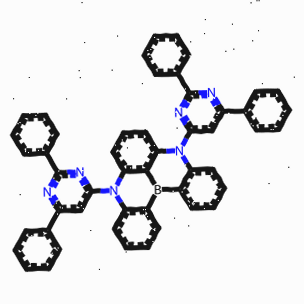 c1ccc(-c2cc(N3c4ccccc4B4c5ccccc5N(c5cc(-c6ccccc6)nc(-c6ccccc6)n5)c5cccc3c54)nc(-c3ccccc3)n2)cc1